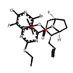 C=CC[C@@H]1[C@@H]2CC[C@](F)(CN1c1nc(SCC)nc3c(F)c(Cl)nc(Br)c13)N2C(=O)OC(C)(C)C